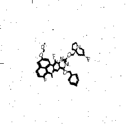 CCc1c(F)ccc2cc(OCOC)cc(-c3c(F)cc4c(OCc5ccccc5)nc(OC[C@@]56CCCN5C[C@H](F)C6)nc4c3F)c12